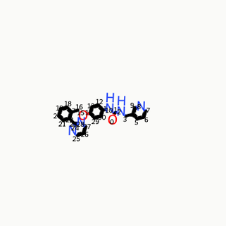 O=C(NCc1cccnc1)Nc1ccc(OCc2ccccc2-c2ncccn2)cc1